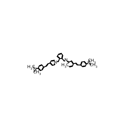 C\C=C/C(/C=C/c1ccc(N(C)C)cc1)=C\C=N\Cc1ccccc1C[n+]1ccc(/C=C/c2ccc(N(C)C)cc2)cc1